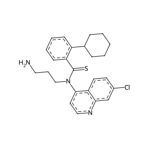 NCCCN(C(=S)c1ccccc1C1CCCCC1)c1ccnc2cc(Cl)ccc12